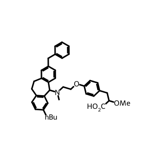 CCCCc1ccc2c(c1)C(N(C)CCOc1ccc(CC(OC)C(=O)O)cc1)c1ccc(Cc3ccccc3)cc1CC2